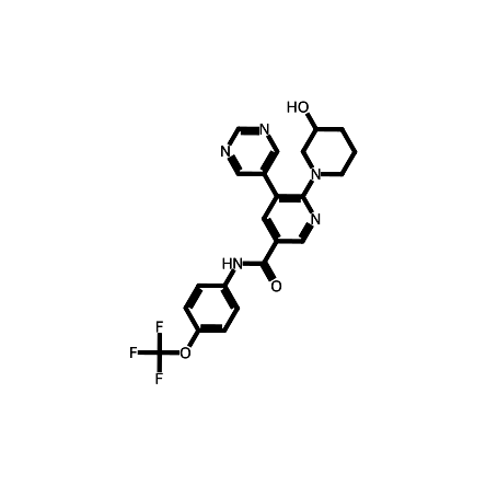 O=C(Nc1ccc(OC(F)(F)F)cc1)c1cnc(N2CCCC(O)C2)c(-c2cncnc2)c1